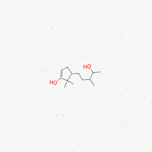 CC(O)C(C)CCC1CC=C(O)C1(C)C